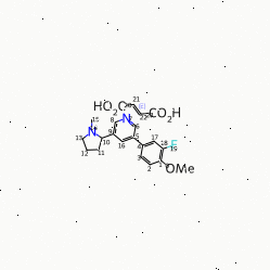 COc1ccc(-c2cncc(C3CCCN3C)c2)cc1F.O=C(O)/C=C/C(=O)O